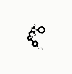 Cc1ccc(-c2ccc(/C=C3/SC(=S)N(C4CCCCCC4)C3=O)o2)cc1